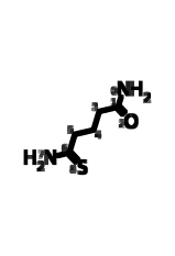 NC(=O)CCCC(N)=S